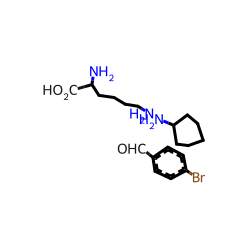 NC1CCCCC1.NCCCCC(N)C(=O)O.O=Cc1ccc(Br)cc1